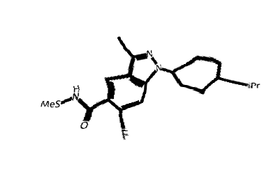 CSNC(=O)c1cc2c(C)nn(C3CCC(C(C)C)CC3)c2cc1F